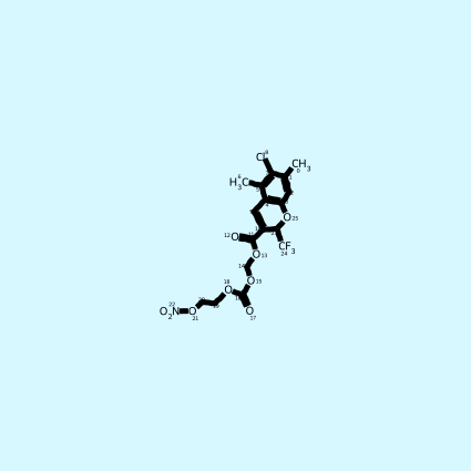 Cc1cc2c(c(C)c1Cl)C=C(C(=O)OCOC(=O)OCCO[N+](=O)[O-])C(C(F)(F)F)O2